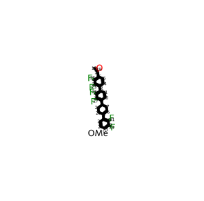 COc1ccc(C2=CCC(c3ccc(-c4ccc(C5CO5)c(F)c4F)c(F)c3F)CC2)c(F)c1F